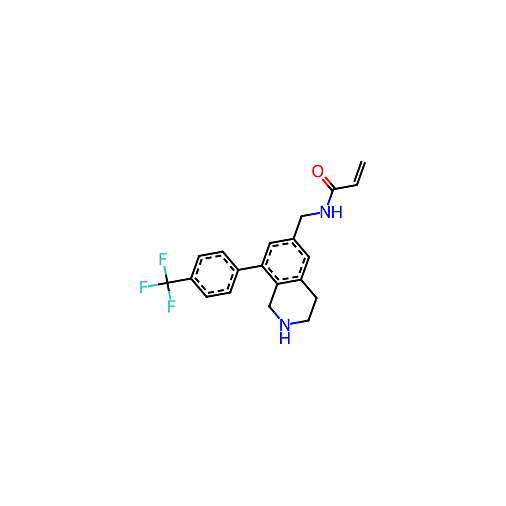 C=CC(=O)NCc1cc2c(c(-c3ccc(C(F)(F)F)cc3)c1)CNCC2